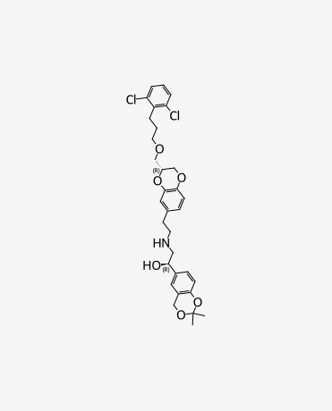 CC1(C)OCc2cc([C@@H](O)CNCCc3ccc4c(c3)O[C@H](COCCCc3c(Cl)cccc3Cl)CO4)ccc2O1